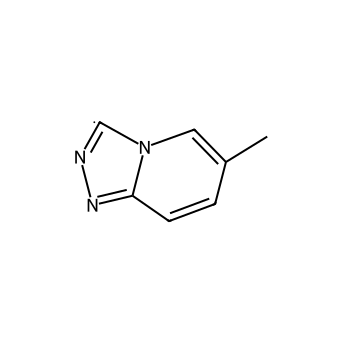 Cc1ccc2nn[c]n2c1